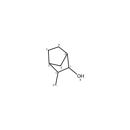 [CH2]C1C2CCC(C2)C1O